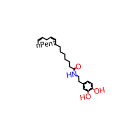 CCCCC/C=C\C/C=C\CCCCCCCC(=O)NCCc1ccc(O)c(O)c1